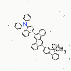 CC1(C)c2ccccc2-c2ccc(-c3cc4c5ccccc5c(-c5ccc(N(c6ccccc6)c6ccccc6)c6ccccc56)cc4c4ccccc34)cc21